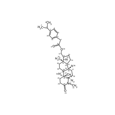 CC(C)c1ccc(CC(=O)OCC2CC[C@H]3[C@@H]4CC[C@H]5N(C)C(=O)CC[C@]5(C)[C@H]4CC[C@]23C)cc1